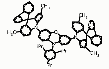 Cc1ccc2c(c1)C1(c3ccccc3-c3ccccc31)c1cc(C)ccc1N2c1ccc2c(c1)Oc1cc(N3c4ccc(C)cc4C4(c5ccccc5-c5ccccc54)c4cc(C)ccc43)ccc1B2c1c(C(C)C)cc(C(C)C)cc1C(C)C